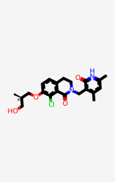 Cc1cc(C)c(CN2CCc3ccc(OC[C@H](C)CO)c(Cl)c3C2=O)c(=O)[nH]1